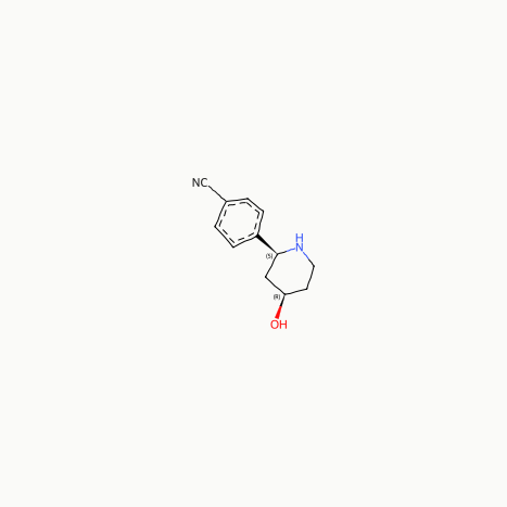 N#Cc1ccc([C@@H]2C[C@H](O)CCN2)cc1